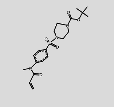 C=CC(=O)N(C)c1ccc(S(=O)(=O)N2CCN(C(=O)OC(C)(C)C)CC2)cc1